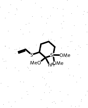 C=CSC1CCC[Si](OC)(OC)C1(CCC)OC